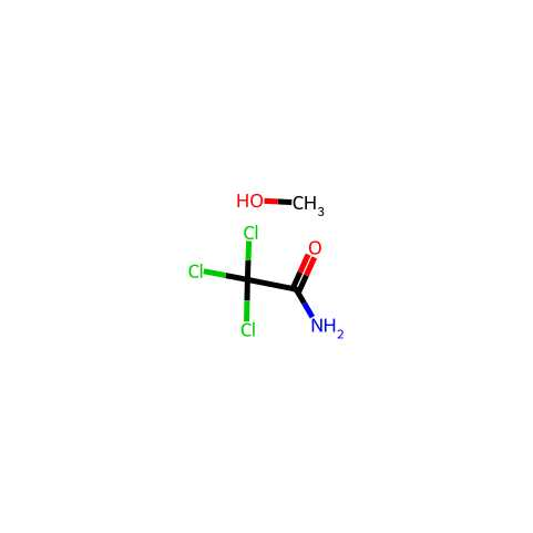 CO.NC(=O)C(Cl)(Cl)Cl